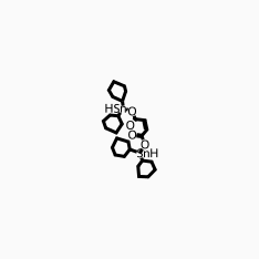 O=C(/C=C\C(=O)[O][SnH]([CH]1CCCCC1)[CH]1CCCCC1)[O][SnH]([CH]1CCCCC1)[CH]1CCCCC1